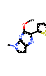 CC(C)Oc1nc2c(ccn2C)nc1-c1cccs1